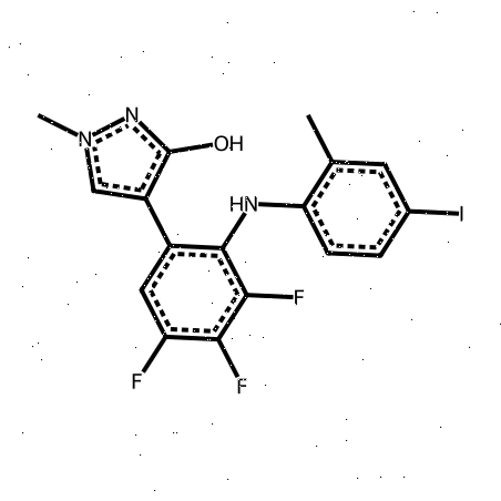 Cc1cc(I)ccc1Nc1c(-c2cn(C)nc2O)cc(F)c(F)c1F